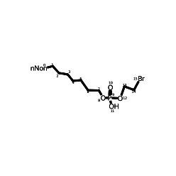 CCCCCCCCCCCCCCCCOP(=O)(O)OCCBr